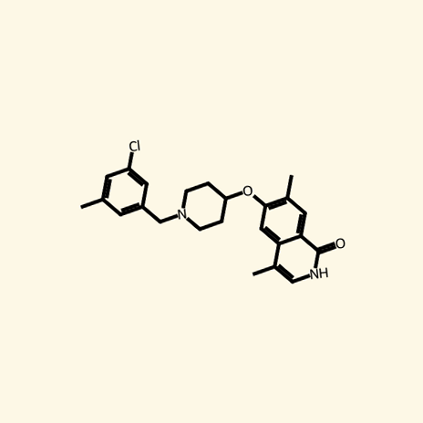 Cc1cc(Cl)cc(CN2CCC(Oc3cc4c(C)c[nH]c(=O)c4cc3C)CC2)c1